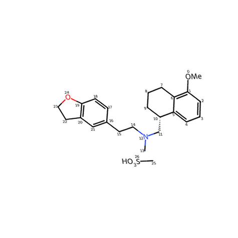 COc1cccc2c1CCC[C@H]2CN(C)CCc1ccc2c(c1)CCO2.CS(=O)(=O)O